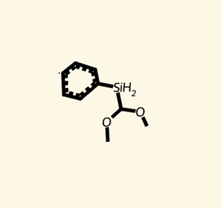 COC(OC)[SiH2]c1cc[c]cc1